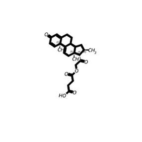 C[C@@H]1CC2C3CCC4=CC(=O)C=C[C@]4(C)C3=CC[C@]2(C)[C@H]1C(=O)COC(=O)CCC(=O)O